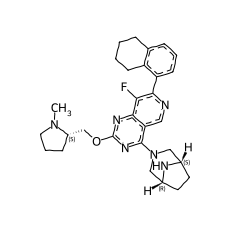 CN1CCC[C@H]1COc1nc(N2C[C@H]3CC[C@@H](C2)N3)c2cnc(-c3cccc4c3CCCC4)c(F)c2n1